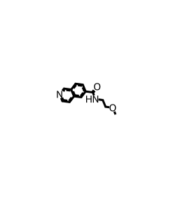 COCCNC(=O)c1ccc2cnccc2c1